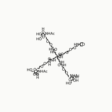 CC(=O)N[C@@H]1[C@@H](O)[C@@H](O)[C@@H](CO)O[C@@H]1CCCOCCOCCNC(=O)NCCCC(CCCNC(=O)NCCOCCOCCC[C@H]1O[C@H](CO)[C@H](O)[C@H](O)[C@H]1NC(C)=O)(CCCNC(=O)NCCOCCOCCC[C@H]1O[C@H](CO)[C@H](O)[C@H](O)[C@H]1NC(C)=O)NC(=O)COCCOCCOCCOCCNC1CCOCC1